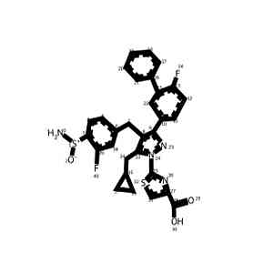 N[S+]([O-])c1ccc(Cc2c(-c3ccc(F)c(-c4ccccc4)c3)nn(-c3nc(C(=O)O)cs3)c2CC2CC2)cc1F